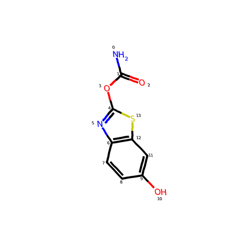 NC(=O)Oc1nc2ccc(O)cc2s1